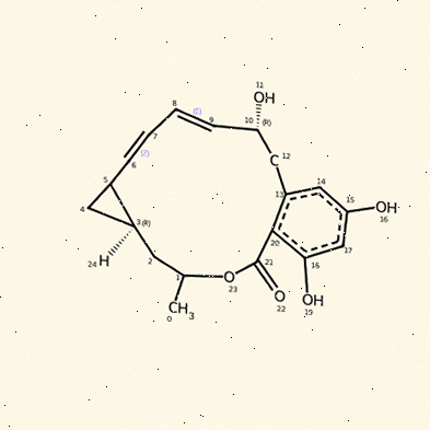 CC1C[C@H]2CC2/C=C\C=C\[C@H](O)Cc2cc(O)cc(O)c2C(=O)O1